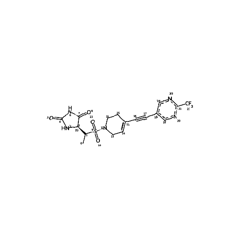 CC([C@H]1NC(=O)NC1=O)S(=O)(=O)N1CC=C(C#Cc2cnc(C(F)(F)F)nc2)CC1